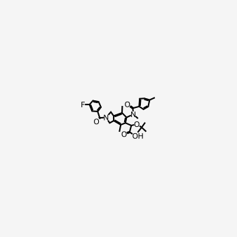 Cc1ccc(C(=O)N(C)c2c(C)c3c(c(C)c2C(OC(C)(C)C)C(=O)O)CN(C(=O)c2cccc(F)c2)C3)cc1